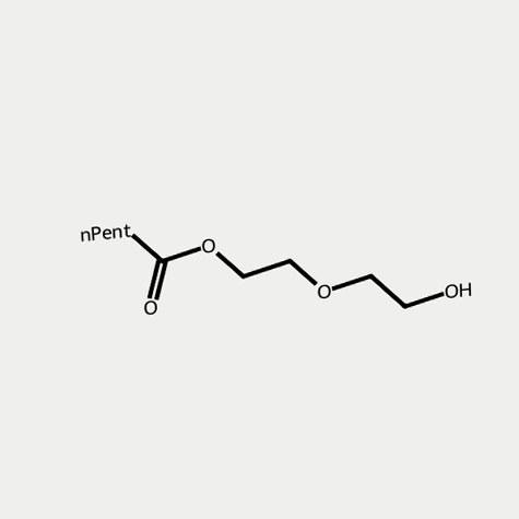 CCCCCC(=O)OCCOCCO